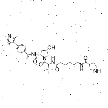 Cc1ncsc1-c1ccc([C@H](C)NC(=O)[C@@H]2C[C@@H](O)CN2C(=O)C(NC(=O)CCCCCNC(=O)C2CCNC2)C(C)(C)C)cc1